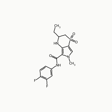 CCC1CS(=O)(=O)c2cn(C)c(C(=O)Nc3ccc(F)c(F)c3)c2N1